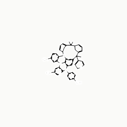 CC(C)(C)c1ccc(N2c3ccc(C(C)(C)C)cc3B3c4cc(C(C)(C)C)ccc4N4c5cc(cc2c53)C(C)(C2=CCCC=C2)C2=CC=CC(C2)C(C)(C)C2=CC=CC4C2)cc1